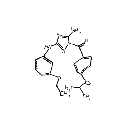 CCOc1cccc(Nc2nc(N)n(C(=O)c3ccc(OC(C)C)cc3)n2)c1